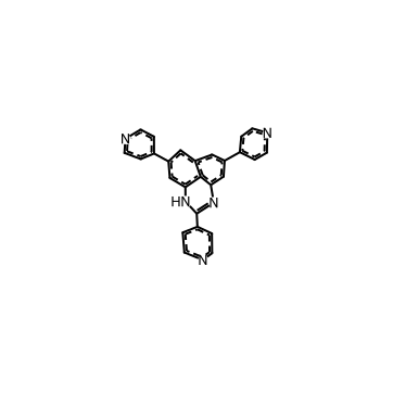 c1cc(C2=Nc3cc(-c4ccncc4)cc4cc(-c5ccncc5)cc(c34)N2)ccn1